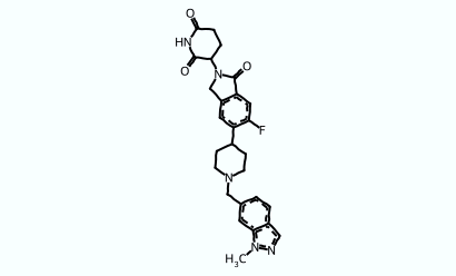 Cn1ncc2ccc(CN3CCC(c4cc5c(cc4F)C(=O)N(C4CCC(=O)NC4=O)C5)CC3)cc21